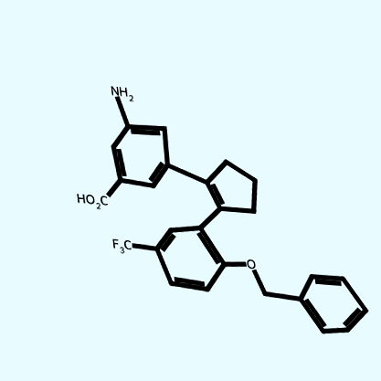 Nc1cc(C(=O)O)cc(C2=C(c3cc(C(F)(F)F)ccc3OCc3ccccc3)CCC2)c1